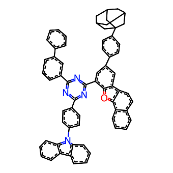 c1ccc(-c2cccc(-c3nc(-c4ccc(-n5c6ccccc6c6ccccc65)cc4)nc(-c4cc(-c5ccc(C67CC8CC(CC(C8)C6)C7)cc5)cc5c4oc4c6ccccc6ccc54)n3)c2)cc1